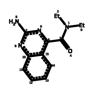 CCN(CC)C(=O)c1nc(N)nc2ccccc12